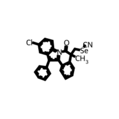 CC1(C[Se]C#N)C(=O)n2c(c(-c3ccccc3)c3cc(Cl)ccc32)-c2ccccc21